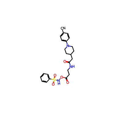 N#Cc1ccc(N2CCC(CC(=O)NCCC(=O)ONS(=O)(=O)c3ccccc3)CC2)cc1